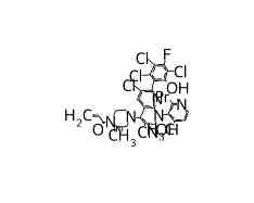 C=CC(=O)N1CCN(C2=C(C#N)C(O)N(c3c(C)ccnc3C(C)C)c3nc(-c4c(O)c(Cl)c(F)c(Cl)c4Cl)c(Cl)cc32)C[C@H]1C